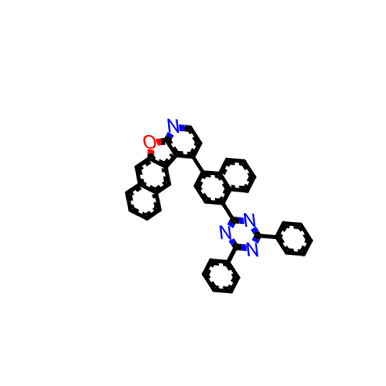 c1ccc(-c2nc(-c3ccccc3)nc(-c3ccc(-c4ccnc5oc6cc7ccccc7cc6c45)c4ccccc34)n2)cc1